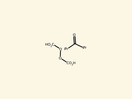 CC(C)C(=O)C(C)C.O=C(O)OOC(=O)O